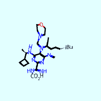 C=Nc1nc(C(=N)NC(=O)O)nc(N[C@H](C)C2CCC2)c1N(CN1CCOCC1)C(C)CCC[C@@H](C)CC